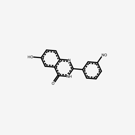 O=Nc1cccc(-c2nc3ccc(O)cc3c(=O)[nH]2)c1